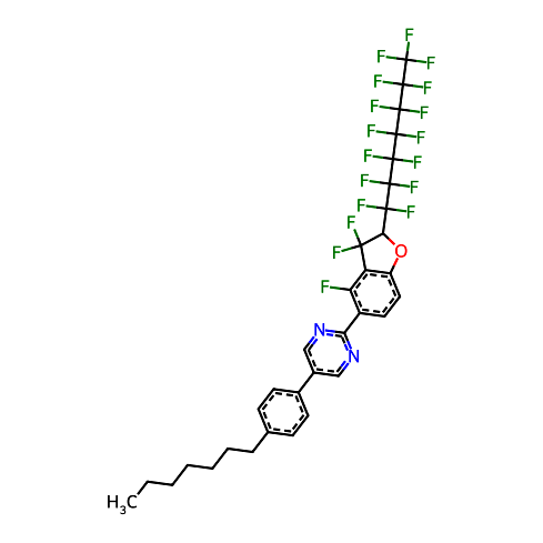 CCCCCCCc1ccc(-c2cnc(-c3ccc4c(c3F)C(F)(F)C(C(F)(F)C(F)(F)C(F)(F)C(F)(F)C(F)(F)C(F)(F)C(F)(F)F)O4)nc2)cc1